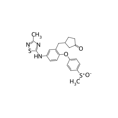 Cc1nsc(Nc2ccc(Oc3ccc([S+](C)[O-])cc3)c(CC3CCC(=O)C3)c2)n1